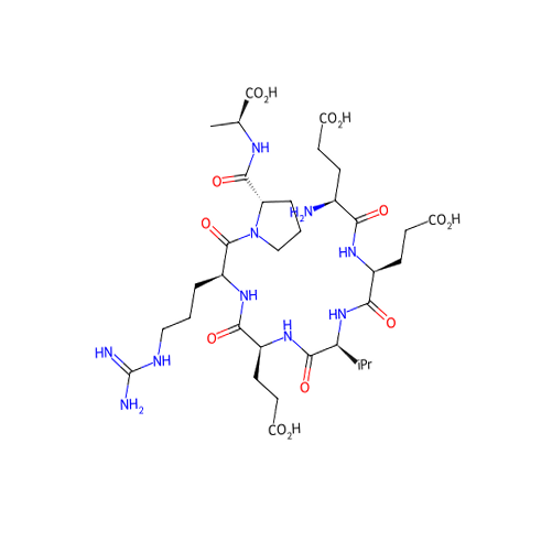 CC(C)[C@H](NC(=O)[C@H](CCC(=O)O)NC(=O)[C@@H](N)CCC(=O)O)C(=O)N[C@@H](CCC(=O)O)C(=O)N[C@@H](CCCNC(=N)N)C(=O)N1CCC[C@H]1C(=O)N[C@@H](C)C(=O)O